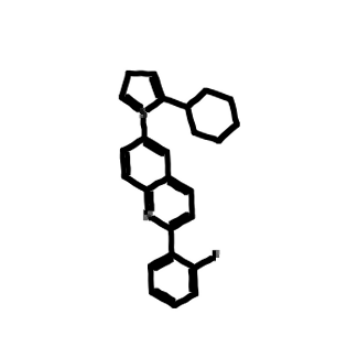 Fc1ccccc1-c1ccc2cc(S3=CCC=C3C3CCCCC3)ccc2n1